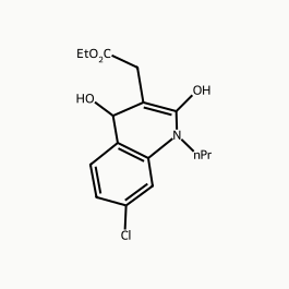 CCCN1C(O)=C(CC(=O)OCC)C(O)c2ccc(Cl)cc21